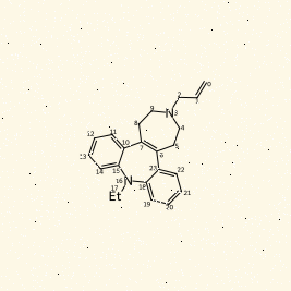 C=CCN1CCC2=C(CC1)c1ccccc1N(CC)c1ccccc12